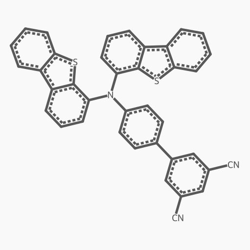 N#Cc1cc(C#N)cc(-c2ccc(N(c3cccc4c3sc3ccccc34)c3cccc4c3sc3ccccc34)cc2)c1